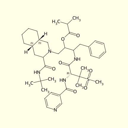 CC(C)C(=O)OC(CN1C[C@H]2CCCC[C@H]2CC1C(=O)NC(C)(C)C)C(Cc1ccccc1)NC(=O)[C@@H](NC(=O)c1cccnc1)C(C)(C)S(C)(=O)=O